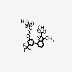 COC(=O)c1sc2c(-c3cc(OCCOS(C)(=O)=O)cc(C(F)(F)F)c3)cccc2c1C